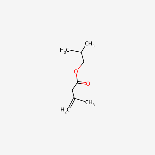 C=C(C)CC(=O)OCC(C)C